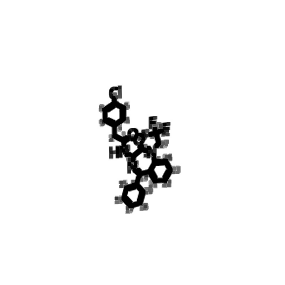 O=C(Cc1ccc(Cl)cc1)N[C@@H]1N=C(c2ccccc2)c2ccccc2N(CC(F)(F)F)C1=O